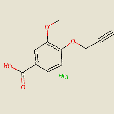 C#CCOc1ccc(C(=O)O)cc1OC.Cl